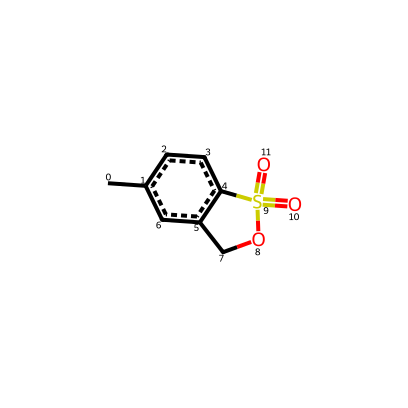 Cc1ccc2c(c1)COS2(=O)=O